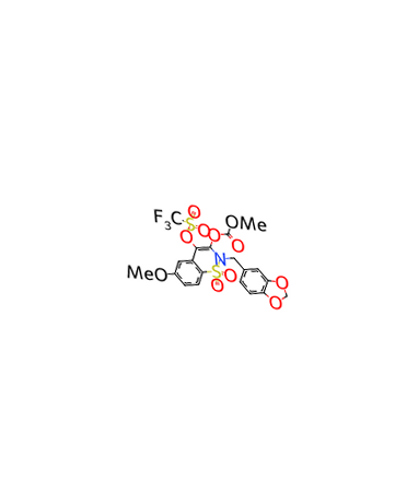 COC(=O)OC1=C(OS(=O)(=O)C(F)(F)F)c2cc(OC)ccc2S(=O)(=O)N1Cc1ccc2c(c1)OCO2